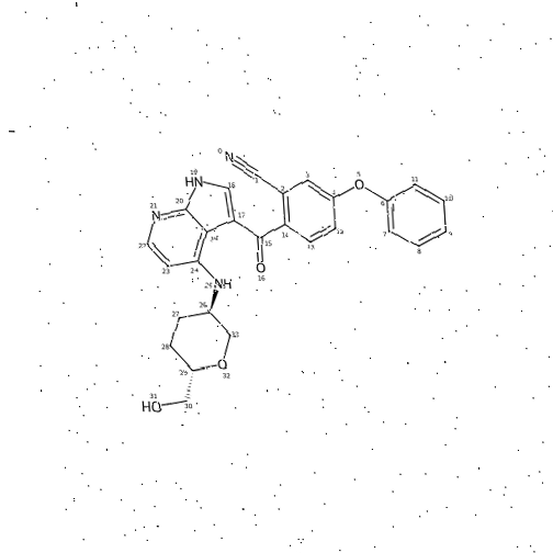 N#Cc1cc(Oc2ccccc2)ccc1C(=O)c1c[nH]c2nccc(N[C@@H]3CC[C@@H](CO)OC3)c12